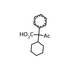 CC(=O)C(C(=O)O)(c1ccccc1)C1CCCCC1